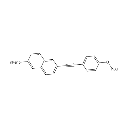 CCCCCc1ccc2cc(C#Cc3ccc(OCCCC)cc3)ccc2c1